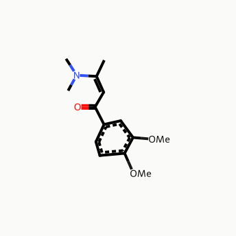 COc1ccc(C(=O)C=C(C)N(C)C)cc1OC